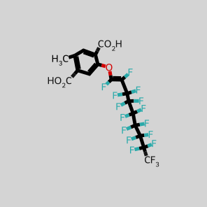 Cc1cc(C(=O)O)c(OC(F)=C(F)C(F)(F)C(F)(F)C(F)(F)C(F)(F)C(F)(F)C(F)(F)C(F)(F)F)cc1C(=O)O